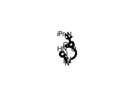 CC(C)n1cc(-c2ccc3c(c2)C(=O)Nc2cccc(n2)-c2nncn2CCCCO3)cn1